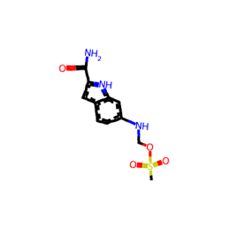 CS(=O)(=O)OCNc1ccc2cc(C(N)=O)[nH]c2c1